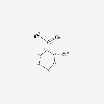 CC[C@@H]1CCCCC1C(=O)C(C)C